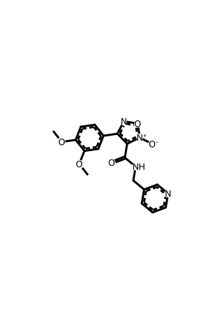 COc1ccc(-c2no[n+]([O-])c2C(=O)NCc2cccnc2)cc1OC